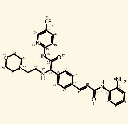 Nc1ccccc1NC(=O)C=Cc1ccc(C(NCCN2CCOCC2)C(=O)Nc2ccc(C(F)(F)F)cn2)cc1